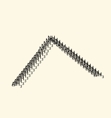 N.N.N.N.N.N.N.N.N.[AlH3].[AlH3].[AlH3].[AlH3].[AlH3].[AlH3].[AlH3].[AlH3].[AlH3].[AlH3].[AlH3].[AlH3].[AlH3].[AlH3].[AlH3].[AlH3].[AlH3].[AlH3].[AlH3].[AlH3].[AlH3].[AlH3].[AlH3].[AlH3].[AlH3].[AlH3]